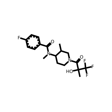 CC1CN(C(=O)C(C)(O)C(F)(F)F)CCC1N(C)C(=O)c1ccc(F)cc1